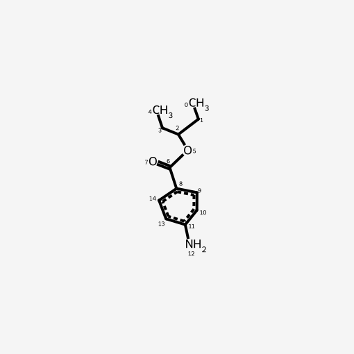 CCC(CC)OC(=O)c1ccc(N)cc1